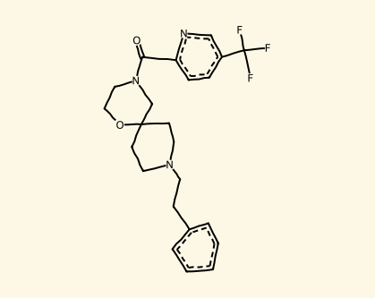 O=C(c1ccc(C(F)(F)F)cn1)N1CCOC2(CCN(CCc3ccccc3)CC2)C1